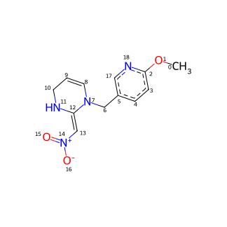 COc1ccc(CN2C=CCNC2=C[N+](=O)[O-])cn1